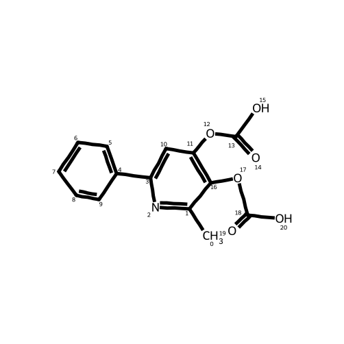 Cc1nc(-c2ccccc2)cc(OC(=O)O)c1OC(=O)O